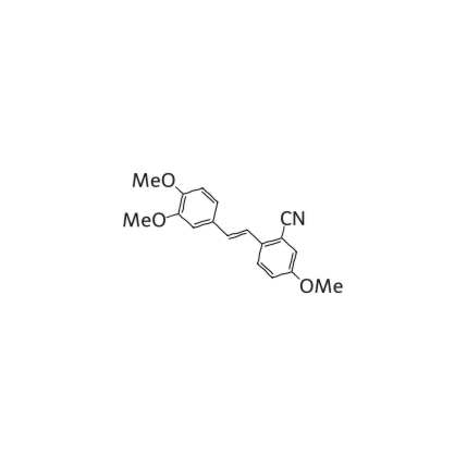 COc1ccc(/C=C/c2ccc(OC)c(OC)c2)c(C#N)c1